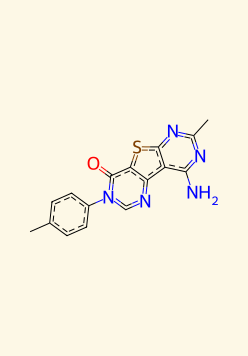 Cc1ccc(-n2cnc3c(sc4nc(C)nc(N)c43)c2=O)cc1